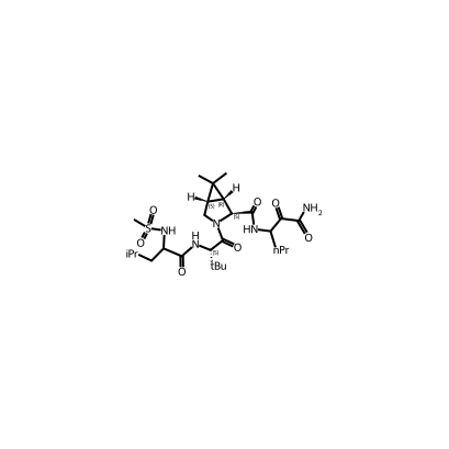 CCCC(NC(=O)[C@@H]1[C@@H]2[C@H](CN1C(=O)[C@@H](NC(=O)C(CC(C)C)NS(C)(=O)=O)C(C)(C)C)C2(C)C)C(=O)C(N)=O